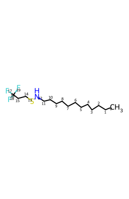 CCCCCCCCCCCCNSCCC(F)(F)F